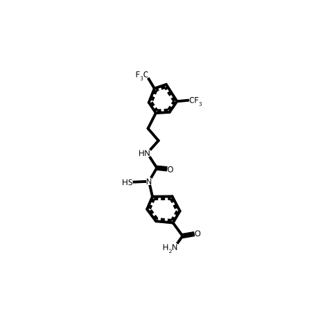 NC(=O)c1ccc(N(S)C(=O)NCCc2cc(C(F)(F)F)cc(C(F)(F)F)c2)cc1